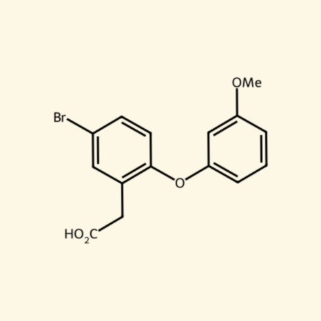 COc1cccc(Oc2ccc(Br)cc2CC(=O)O)c1